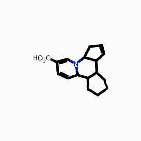 O=C(O)C1=CN2C(C=C1)C1CCCCC1C1C=CCC12